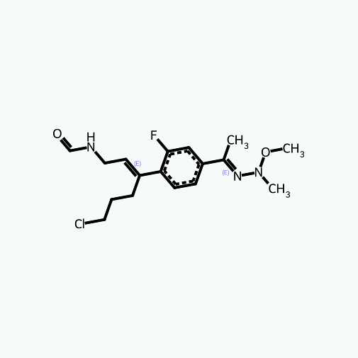 CON(C)/N=C(\C)c1ccc(/C(=C/CNC=O)CCCCl)c(F)c1